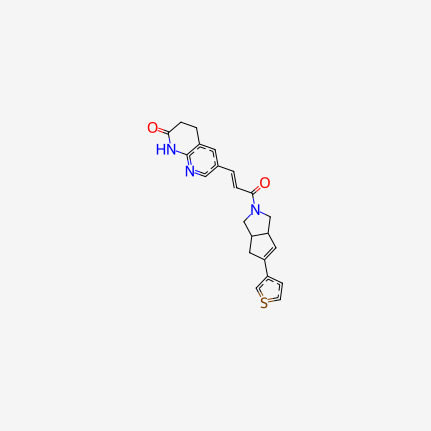 O=C1CCc2cc(/C=C/C(=O)N3CC4C=C(c5ccsc5)CC4C3)cnc2N1